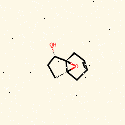 O[C@H]1CC[C@]23CC=CC[C@]12O3